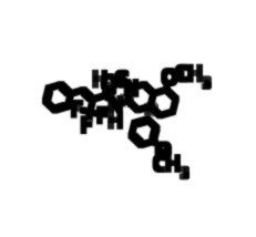 COc1cccc([C@@]23CCCC(OC)C2CN(C)[C@H](NC(=O)C(=Cc2ccccc2)C(F)(F)F)C3)c1